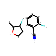 CC1OCCC1F.N#Cc1ccccc1F